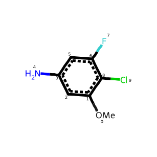 COc1cc(N)cc(F)c1Cl